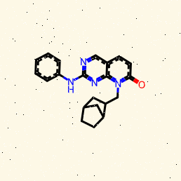 O=c1ccc2cnc(Nc3ccccc3)nc2n1CC1CC2CCC1C2